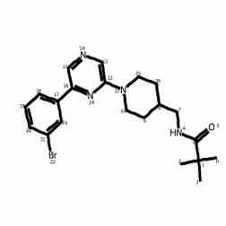 CC(C)(C)C(=O)NCC1CCN(c2cncc(-c3cccc(Br)c3)n2)CC1